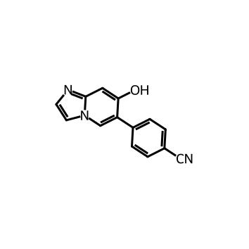 N#Cc1ccc(-c2cn3ccnc3cc2O)cc1